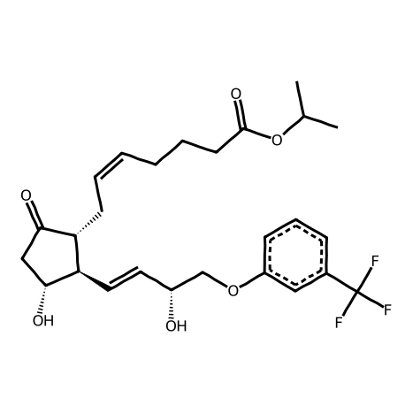 CC(C)OC(=O)CCC/C=C\C[C@H]1C(=O)C[C@@H](O)[C@@H]1/C=C/[C@@H](O)COc1cccc(C(F)(F)F)c1